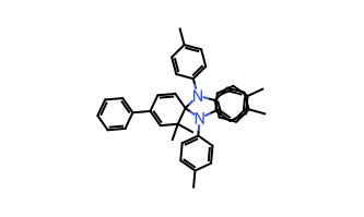 Cc1ccc(N(c2ccc(C)cc2)C2(N(c3ccc(C)cc3)c3ccc(C)cc3)C=CC(c3ccccc3)=CC2(C)C)cc1